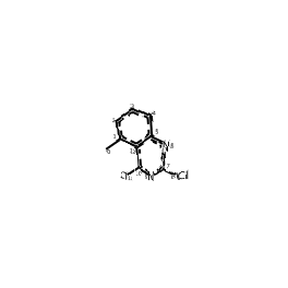 Cc1cccc2nc(Cl)nc(Cl)c12